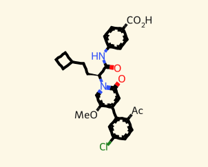 COc1cn([C@@H](CCC2CCC2)C(=O)Nc2ccc(C(=O)O)cc2)c(=O)cc1-c1cc(Cl)ccc1C(C)=O